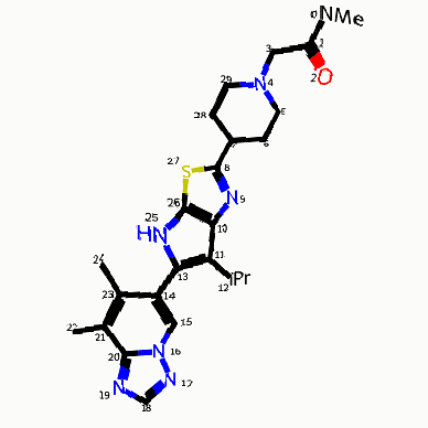 CNC(=O)CN1CCC(c2nc3c(C(C)C)c(-c4cn5ncnc5c(C)c4C)[nH]c3s2)CC1